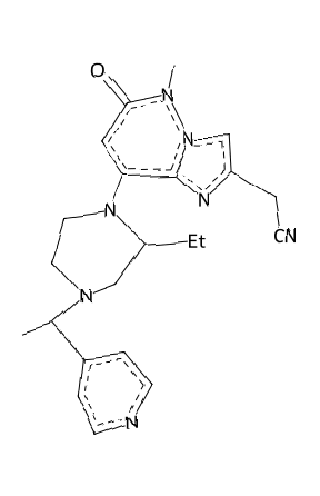 CCC1CN(C(C)c2ccncc2)CCN1c1cc(=O)n(C)n2cc(CC#N)nc12